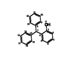 Oc1ccccc1C(c1ccccc1)c1ccccc1